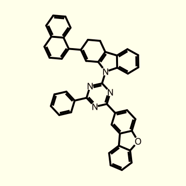 C1=C(c2cccc3ccccc23)CCc2c1n(-c1nc(-c3ccccc3)nc(-c3ccc4oc5ccccc5c4c3)n1)c1ccccc21